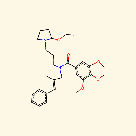 CCOC1CCCN1CCCN(C/C(C)=C/c1ccccc1)C(=O)c1cc(OC)c(OC)c(OC)c1